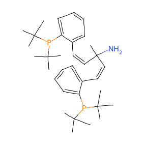 CC(N)(/C=C\c1ccccc1P(C(C)(C)C)C(C)(C)C)/C=C\c1ccccc1P(C(C)(C)C)C(C)(C)C